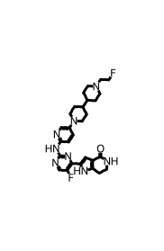 O=C1NCCc2[nH]c(-c3nc(Nc4ccc(N5CCC(C6CCN(CCF)CC6)CC5)cn4)ncc3F)cc21